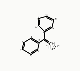 C=C(c1ccccc1)c1ccccc1.[SiH4]